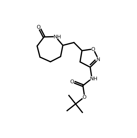 CC(C)(C)OC(=O)NC1=NOC(CC2CCCCC(=O)N2)C1